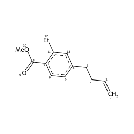 C=CCCc1ccc(C(=O)OC)c(CC)c1